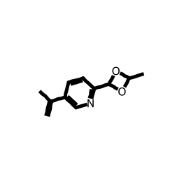 C=C(C)c1ccc(C2OC(C)O2)nc1